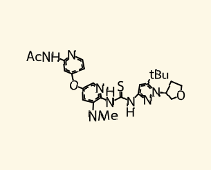 CNc1cc(Oc2ccnc(NC(C)=O)c2)cnc1NC(=S)Nc1cc(C(C)(C)C)n([C@H]2CCOC2)n1